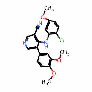 COc1ccc(Cl)c(Nc2c(C#N)cncc2-c2ccc(OC)c(OC)c2)c1